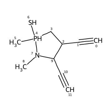 C#CC1C[PH](C)(S)N(C)C1C#C